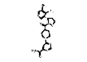 Cc1c(P)cncc1[C@@H]1CCON1C(=O)C1CCN(c2cc(C(N)=O)ncn2)CC1